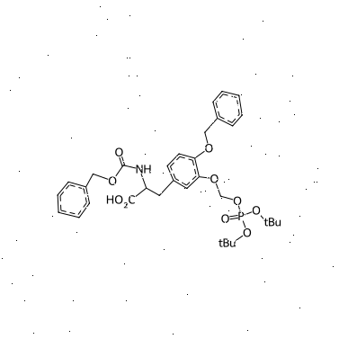 CC(C)(C)OP(=O)(OCOc1cc(CC(NC(=O)OCc2ccccc2)C(=O)O)ccc1OCc1ccccc1)OC(C)(C)C